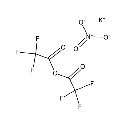 O=C(OC(=O)C(F)(F)F)C(F)(F)F.O=[N+]([O-])[O-].[K+]